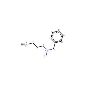 CN(CCCC(=O)O)Cc1ccccc1